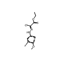 CCOC(=S)/C(Cl)=N/Nc1ccc(OC)c(F)c1